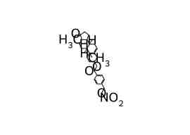 C[C@]12CCC(OC(=O)c3ccc(CO[N+](=O)[O-])cc3)CC1=CC[C@@H]1[C@H]2CC[C@]2(C)C(=O)CC[C@@H]12